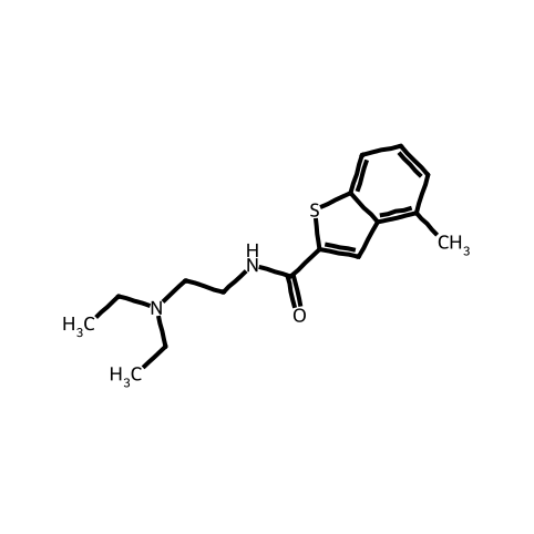 CCN(CC)CCNC(=O)c1cc2c(C)cccc2s1